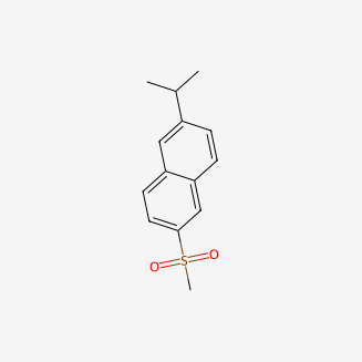 CC(C)c1ccc2cc(S(C)(=O)=O)ccc2c1